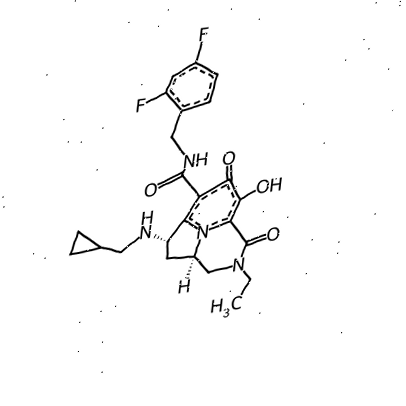 CCN1C[C@H]2C[C@H](NCC3CC3)c3c(C(=O)NCc4ccc(F)cc4F)c(=O)c(O)c(n32)C1=O